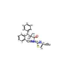 COc1ccccc1C(c1ccccc1)C(C)(C)C(=O)Nc1nc(C(C)(C)C)cs1